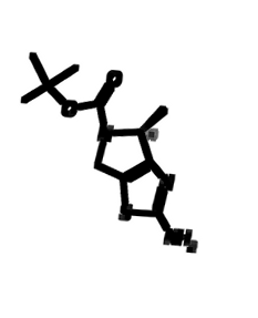 C[C@H]1c2nc(N)sc2CN1C(=O)OC(C)(C)C